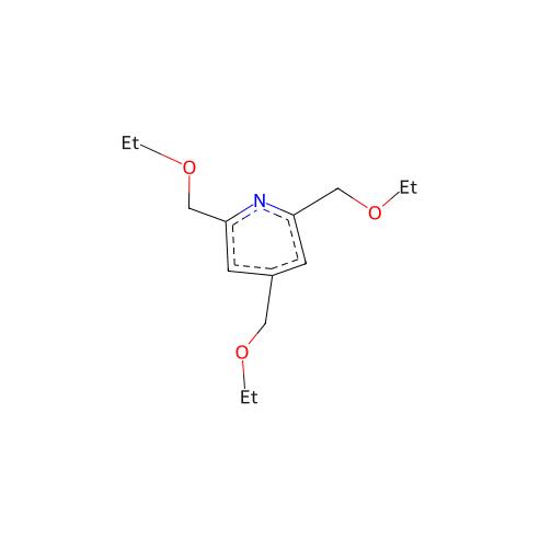 CCOCc1cc(COCC)nc(COCC)c1